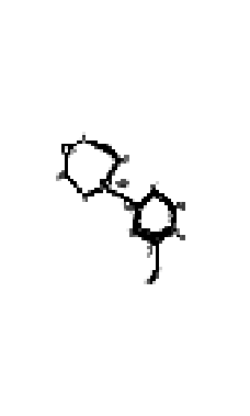 Fc1cc(N2CCOCC2)ccn1